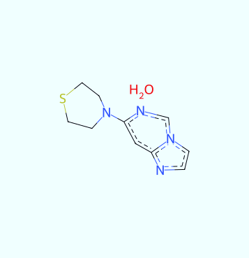 O.c1cn2cnc(N3CCSCC3)cc2n1